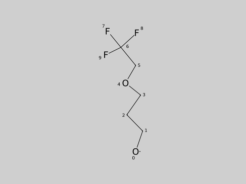 [O]CCCOCC(F)(F)F